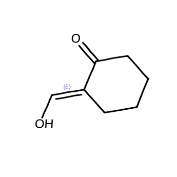 O=C1CCCC/C1=C\O